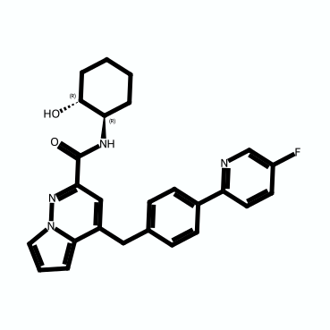 O=C(N[C@@H]1CCCC[C@H]1O)c1cc(Cc2ccc(-c3ccc(F)cn3)cc2)c2cccn2n1